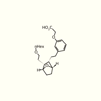 CCCCCCOCC[C@@H]1[C@H](CCc2cccc(OCC(=O)O)c2)[C@@H]2CC[C@H]1O2